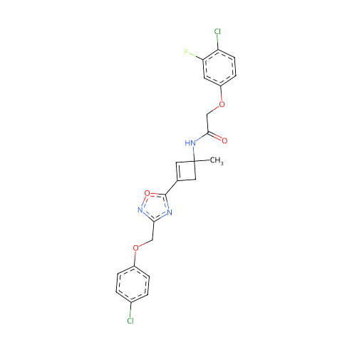 CC1(NC(=O)COc2ccc(Cl)c(F)c2)C=C(c2nc(COc3ccc(Cl)cc3)no2)C1